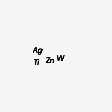 [Ag].[Ti].[W].[Zn]